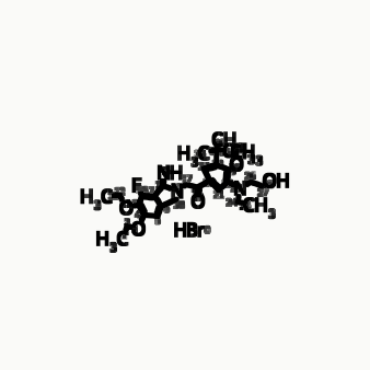 Br.CCOc1cc2c(c(F)c1OCC)C(=N)N(CC(=O)c1cc(N(CC)CCO)c(OC)c(C(C)(C)C)c1)C2